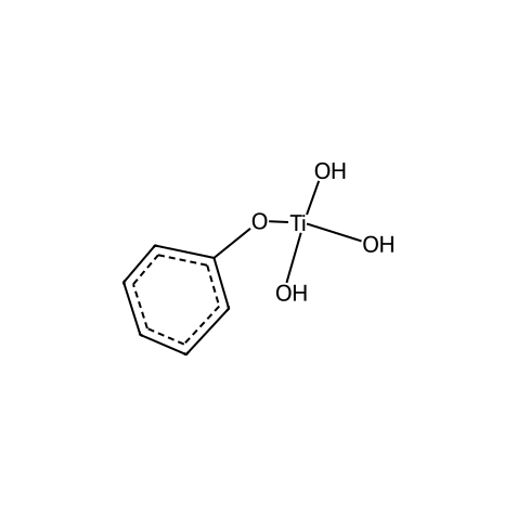 [OH][Ti]([OH])([OH])[O]c1ccccc1